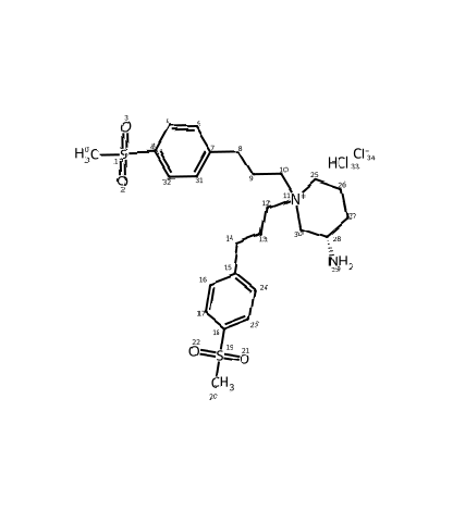 CS(=O)(=O)c1ccc(CCC[N+]2(CCCc3ccc(S(C)(=O)=O)cc3)CCC[C@H](N)C2)cc1.Cl.[Cl-]